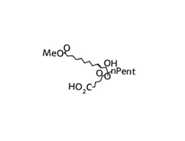 CCCCCC(OC(=O)CCCC(=O)O)C(O)C=CCCCCCCCC(=O)OC